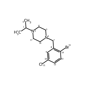 CC(C)N1CCN(Cc2cc(Cl)ccc2Br)CC1